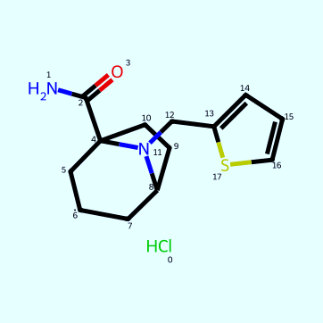 Cl.NC(=O)C12C[CH]CC(CC1)N2Cc1cccs1